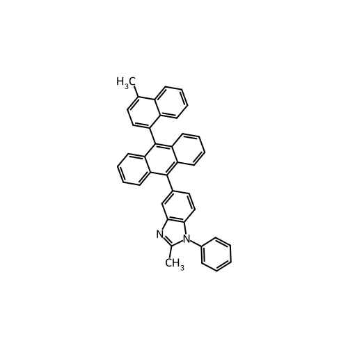 Cc1ccc(-c2c3ccccc3c(-c3ccc4c(c3)nc(C)n4-c3ccccc3)c3ccccc23)c2ccccc12